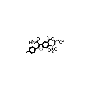 CNC(=O)c1c(-c2ccc(C)cc2)oc2cc3c(cc12)[C@H](C)O[C@H](COC)CN3S(C)(=O)=O